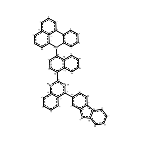 c1ccc2c(c1)-c1cccc3cccc(c13)N2c1ccc(-c2nc(-c3ccc4c(c3)sc3ccccc34)c3ccccc3n2)c2ccccc12